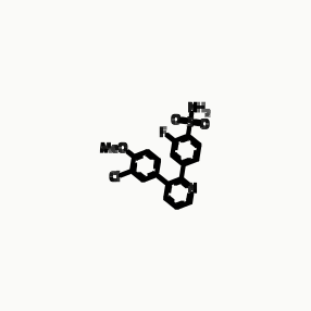 COc1ccc(-c2cccnc2-c2ccc(S(N)(=O)=O)c(F)c2)cc1Cl